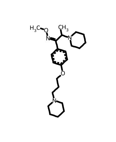 CON=C(c1ccc(OCCCN2CCCCC2)cc1)C(C)N1CCCCC1